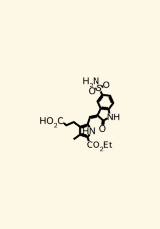 CCOC(=O)c1[nH]c(C=C2C(=O)Nc3ccc(S(N)(=O)=O)cc32)c(CCC(=O)O)c1C